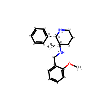 COc1ccccc1CN[C@]1(C)CCCN[C@H]1c1ccccc1